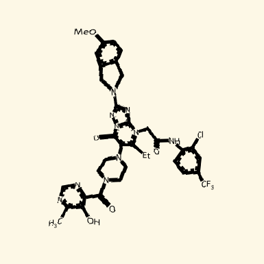 CCc1c(N2CCN(C(=O)c3ncnc(C)c3O)CC2)c(=O)n2nc(N3Cc4ccc(OC)cc4C3)nc2n1CC(=O)Nc1ccc(C(F)(F)F)cc1Cl